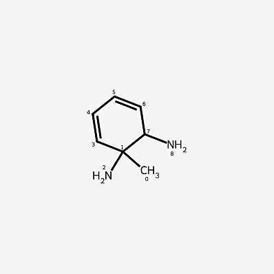 CC1(N)C=CC=CC1N